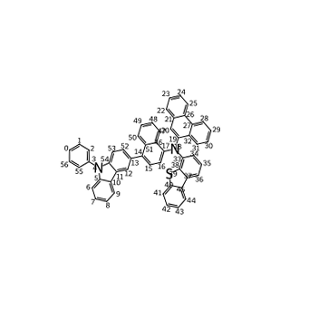 c1ccc(-n2c3ccccc3c3cc(-c4ccc(N(c5cc6ccccc6c6ccccc56)c5cccc6c5sc5ccccc56)c5ccccc45)ccc32)cc1